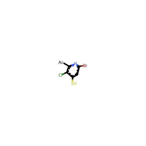 CC(=O)c1nc(Br)cc(S)c1Cl